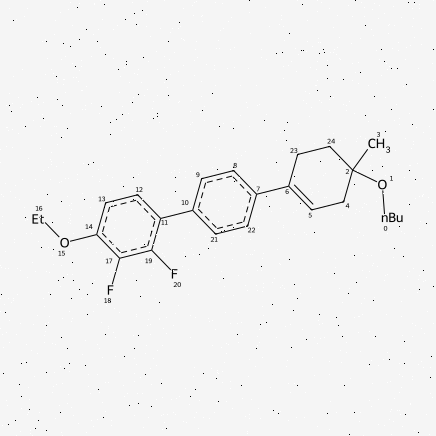 CCCCOC1(C)CC=C(c2ccc(-c3ccc(OCC)c(F)c3F)cc2)CC1